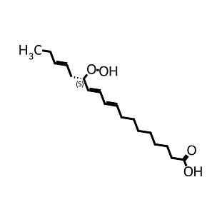 CCC=CC[C@@H](C=CC=CCCCCCCCC(=O)O)OO